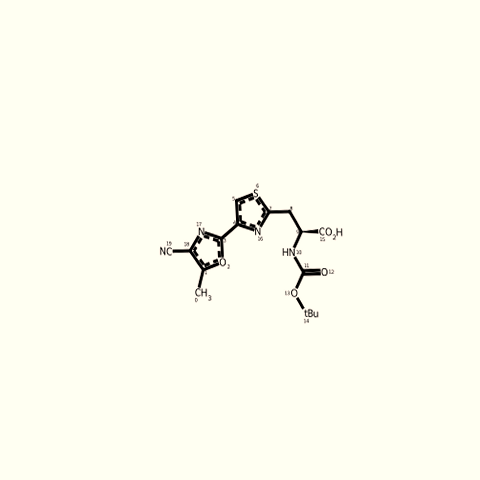 Cc1oc(-c2csc(C[C@H](NC(=O)OC(C)(C)C)C(=O)O)n2)nc1C#N